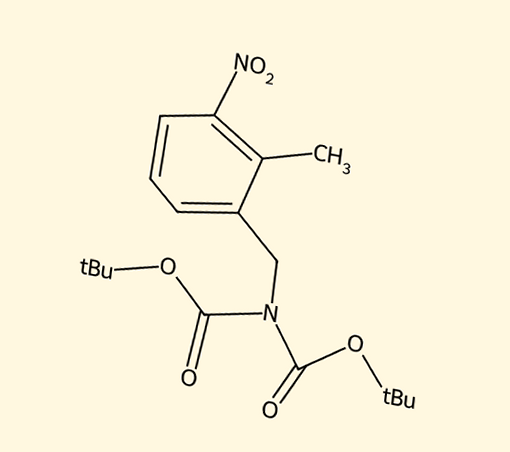 Cc1c(CN(C(=O)OC(C)(C)C)C(=O)OC(C)(C)C)cccc1[N+](=O)[O-]